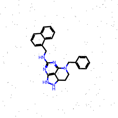 c1ccc(CN2CCC3NNc4nc(NCc5cccc6ccccc56)nc2c43)cc1